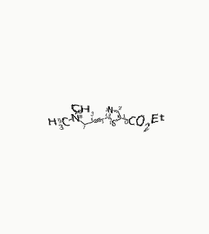 CCOC(=O)c1cnc(C#CCN(C)C)s1